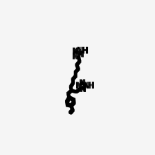 C=Cc1ccc(CC(CCCCCCCCc2nn[nH]n2)Cc2nn[nH]n2)cc1